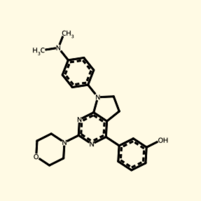 CN(C)c1ccc(N2CCc3c(-c4cccc(O)c4)nc(N4CCOCC4)nc32)cc1